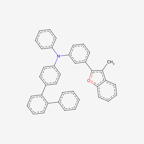 Cc1c(-c2cccc(N(c3ccccc3)c3ccc(-c4ccccc4-c4ccccc4)cc3)c2)oc2ccccc12